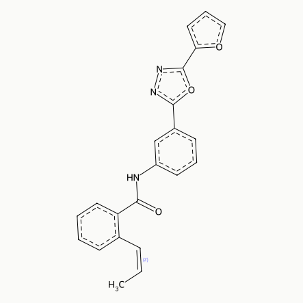 C/C=C\c1ccccc1C(=O)Nc1cccc(-c2nnc(-c3ccco3)o2)c1